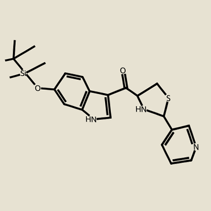 CC(C)(C)[Si](C)(C)Oc1ccc2c(C(=O)C3CSC(c4cccnc4)N3)c[nH]c2c1